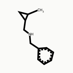 CC1CC1CNCc1ccccc1